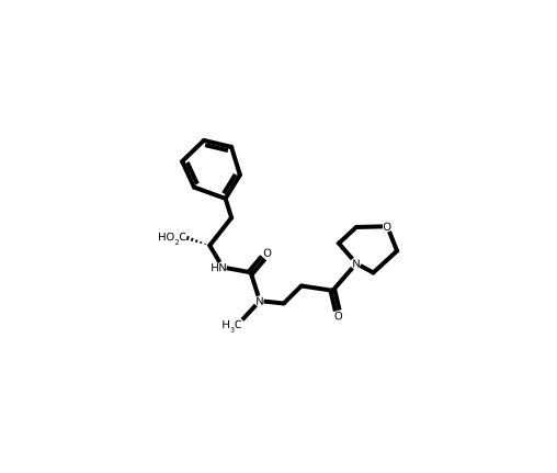 CN(CCC(=O)N1CCOCC1)C(=O)N[C@@H](Cc1ccccc1)C(=O)O